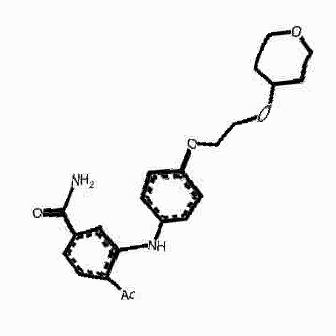 CC(=O)c1ccc(C(N)=O)cc1Nc1ccc(OCCOC2CCOCC2)cc1